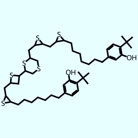 CC(C)(C)c1ccc(CCCCCCCC2SC2CC2CC(C3CSCC(CC4SC4CC4SC4CCCCCCCc4ccc(C(C)(C)C)c(O)c4)S3)S2)cc1O